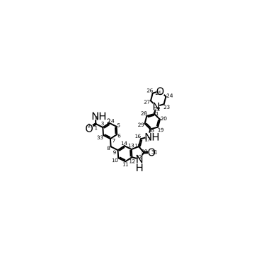 NC(=O)c1cccc(Cc2ccc3c(c2)C(=CNc2ccc(N4CCOCC4)cc2)C(=O)N3)c1